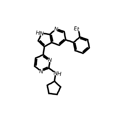 CCc1ccccc1-c1cnc2[nH]cc(-c3ccnc(NC4CCCC4)n3)c2c1